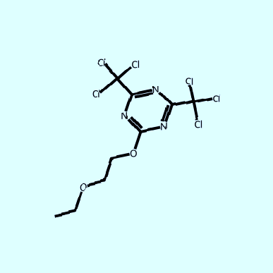 CCOCCOc1nc(C(Cl)(Cl)Cl)nc(C(Cl)(Cl)Cl)n1